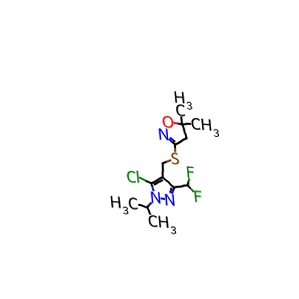 CC(C)n1nc(C(F)F)c(CSC2=NOC(C)(C)C2)c1Cl